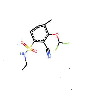 CCNS(=O)(=O)c1ccc(C)c(OC(F)F)c1C#N